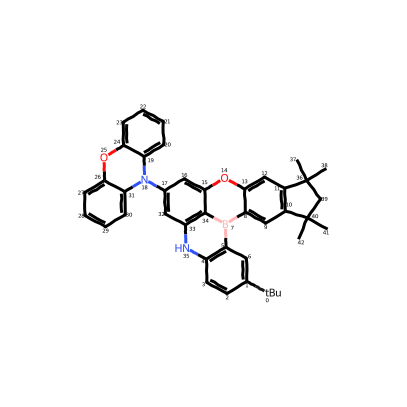 CC(C)(C)c1ccc2c(c1)B1c3cc4c(cc3Oc3cc(N5c6ccccc6Oc6ccccc65)cc(c31)N2)C(C)(C)CC4(C)C